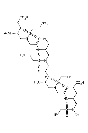 CCN(C[C@H](CCC(=O)O)NC(=O)CN(C[C@H](C)NC(=O)CN(C[C@H](CC(C)C)NC(=O)CN(C[C@H](CCC(=O)O)NC(C)=O)S(=O)(=O)CCN)S(=O)(=O)CCN)S(=O)(=O)CC(C)C)S(=O)(=O)CC(C)C